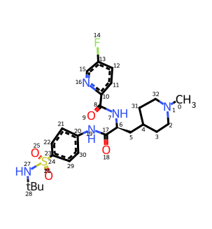 CN1CCC(C[C@H](NC(=O)c2ccc(F)cn2)C(=O)Nc2ccc(S(=O)(=O)NC(C)(C)C)cc2)CC1